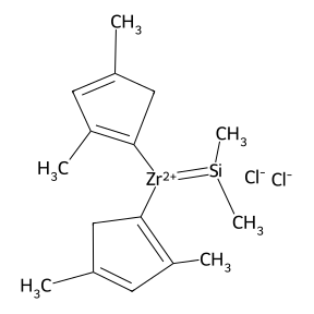 CC1=CC(C)=[C]([Zr+2]([C]2=C(C)C=C(C)C2)=[Si](C)C)C1.[Cl-].[Cl-]